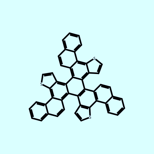 c1ccc2c(c1)ccc1c2c2sccc2c2c3c4ccc5ccccc5c4c4sccc4c3c3c4ccc5ccccc5c4c4sccc4c3c12